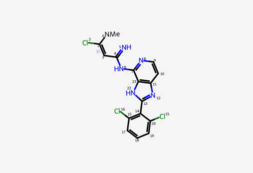 CN/C(Cl)=C\C(=N)Nc1nccc2nc(-c3c(Cl)cccc3Cl)[nH]c12